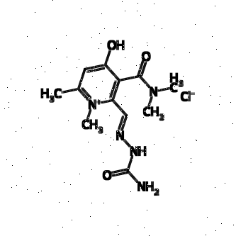 Cc1cc(O)c(C(=O)N(C)C)c(C=NNC(N)=O)[n+]1C.[Cl-]